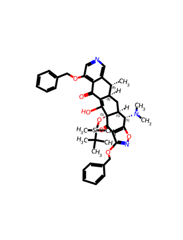 C[C@H]1c2cncc(OCc3ccccc3)c2C(=O)C2=C(O)[C@]3(O[Si](C)(C)C(C)(C)C)C(=O)c4c(OCc5ccccc5)noc4[C@@H](N(C)C)[C@@H]3C[C@@H]21